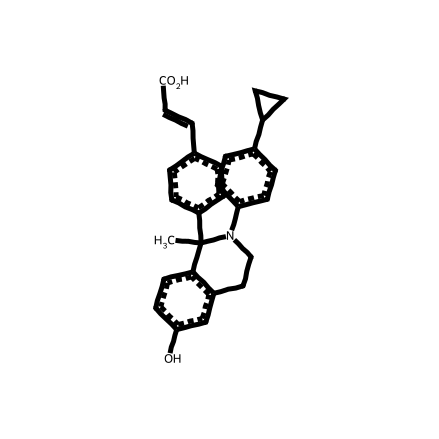 CC1(c2ccc(/C=C/C(=O)O)cc2)c2ccc(O)cc2CCN1c1ccc(C2CC2)cc1